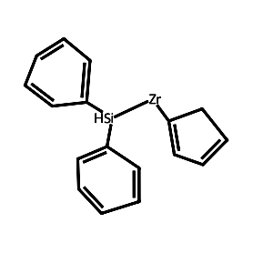 C1=CC[C]([Zr][SiH](c2ccccc2)c2ccccc2)=C1